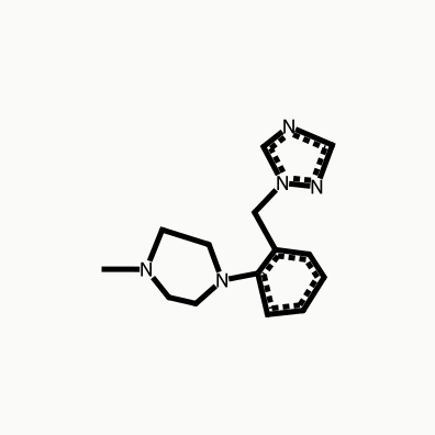 CN1CCN(c2ccccc2Cn2cncn2)CC1